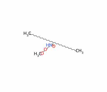 CCCCCCCCCCCCCCCC(CCCCCCCCCCCCCCC)C(=O)NCCCOCCOC